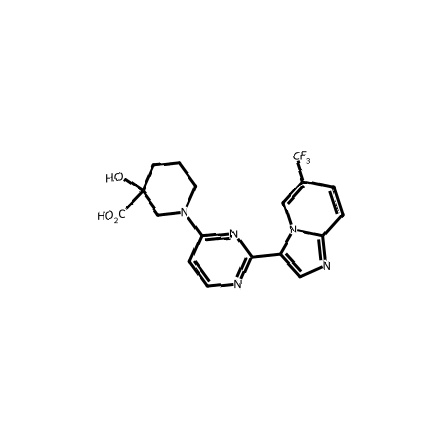 O=C(O)C1(O)CCCN(c2ccnc(-c3cnc4ccc(C(F)(F)F)cn34)n2)C1